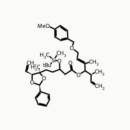 C=C[C@@H]1O[C@H](c2ccccc2)O[C@]1(C)CCC(CC(=O)OC(C(C)=CCOCc1ccc(OC)cc1)[C@@H](C)C=C)O[Si](C)(C)C(C)(C)C